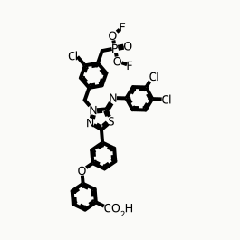 O=C(O)c1cccc(Oc2cccc(-c3nn(Cc4ccc(CP(=O)(OF)OF)c(Cl)c4)c(=Nc4ccc(Cl)c(Cl)c4)s3)c2)c1